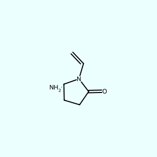 C=CN1CCCC1=O.[NH2]